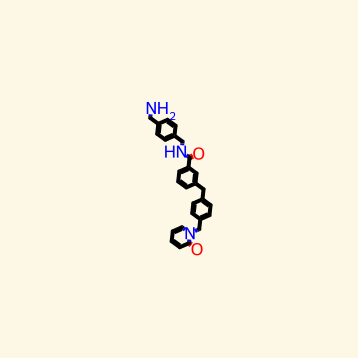 NCc1ccc(CNC(=O)c2cccc(Cc3ccc(Cn4ccccc4=O)cc3)c2)cc1